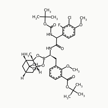 COc1ccc(C(NC(=O)OC(C)(C)C)C(=O)N[C@@H](Cc2cccc(C(=O)OC(C)(C)C)c2OC)B2O[C@@H]3C[C@@H]4C[C@@H](C4(C)C)[C@]3(C)O2)c(F)c1Cl